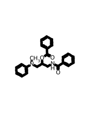 CN(CC(CNC(=O)c1ccccc1)OC(=O)c1ccccc1)c1ccccc1